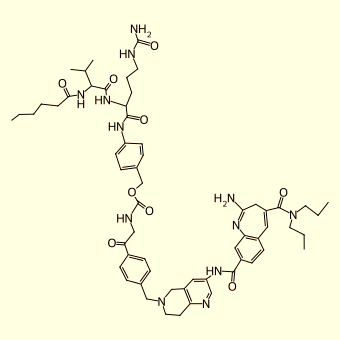 CCCCCC(=O)NC(C(=O)NC(CCCNC(N)=O)C(=O)Nc1ccc(COC(=O)NCC(=O)c2ccc(CN3CCc4ncc(NC(=O)c5ccc6c(c5)N=C(N)CC(C(=O)N(CCC)CCC)=C6)cc4C3)cc2)cc1)C(C)C